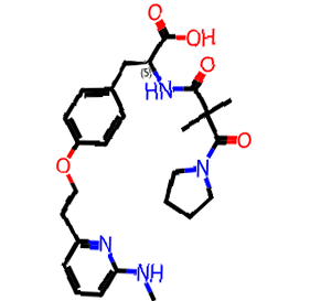 CNc1cccc(CCOc2ccc(C[C@H](NC(=O)C(C)(C)C(=O)N3CCCC3)C(=O)O)cc2)n1